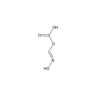 O=C(O)OC=NO